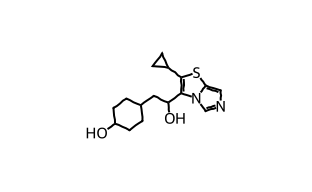 OC1CCC(CC(O)c2c(C3CC3)sc3cncn23)CC1